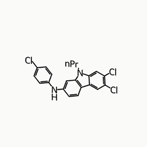 CCCn1c2cc(Nc3ccc(Cl)cc3)ccc2c2cc(Cl)c(Cl)cc21